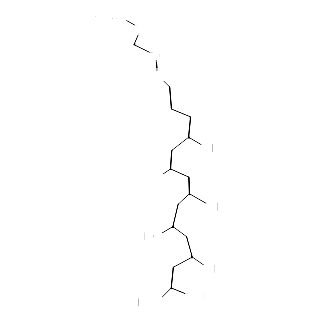 CCCCCCCCCCOCOOCCCC(C)CC(C)CC(C)CC(C)CC(C)CC(C)O